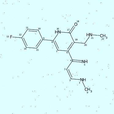 CN/C=C\C(=N)c1cc(-c2ccc(F)cc2)[nH]c(=O)c1CNC